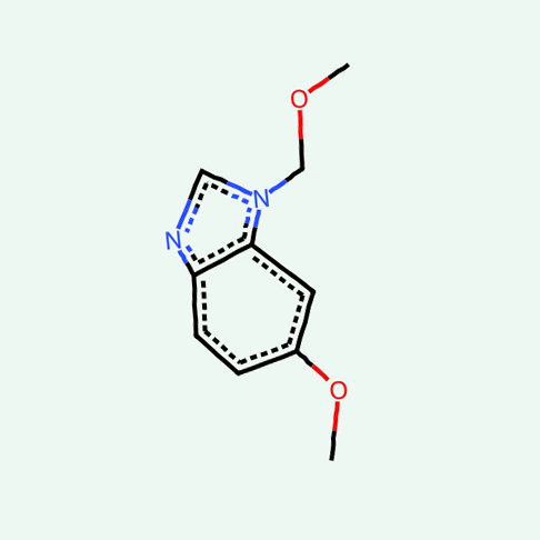 COCn1cnc2ccc(OC)cc21